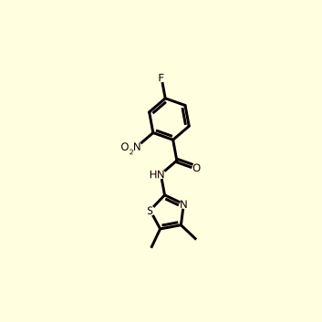 Cc1nc(NC(=O)c2ccc(F)cc2[N+](=O)[O-])sc1C